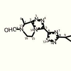 CC1c2nnc(-c3nc(C4CC4)ns3)n2CCN1C=O